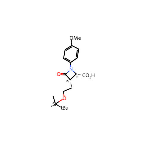 COc1ccc(N2C(=O)[C@@H](CCO[Si](C)(C)C(C)(C)C)[C@H]2C(=O)O)cc1